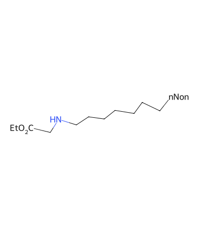 CCCCCCCCCCCCCCCCNCC(=O)OCC